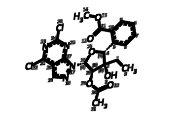 CC[C@@]1(O)[C@@H](c2ccccc2C(=O)OC)O[C@@H](n2ncc3c(Cl)nc(Cl)nc32)[C@@H]1OC(C)=O